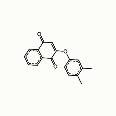 Cc1ccc(OC2=CC(=O)c3ccccc3C2=O)cc1C